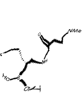 CNCC(=O)N[C@@H](CC(C)C)B(O)O